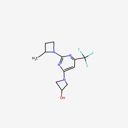 CC1CCN1c1nc(N2CC(O)C2)cc(C(F)(F)F)n1